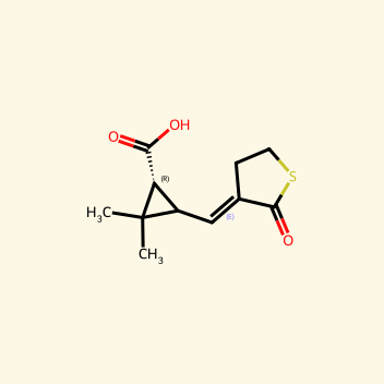 CC1(C)C(/C=C2\CCSC2=O)[C@H]1C(=O)O